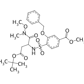 COC(=O)c1ccc(S(=O)(=O)NC(CC(=O)OC(C)(C)C)C(=O)N(C)OC)c(OCc2ccccc2)c1